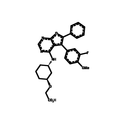 COc1ccc(-c2c(-c3ccccc3)oc3ncnc(N[C@H]4CCC[C@H](OCC(=O)O)C4)c23)cc1F